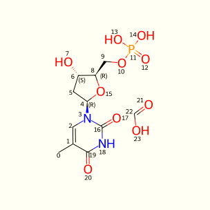 Cc1cn([C@H]2C[C@H](O)[C@@H](COP(=O)(O)O)O2)c(=O)[nH]c1=O.O=CO